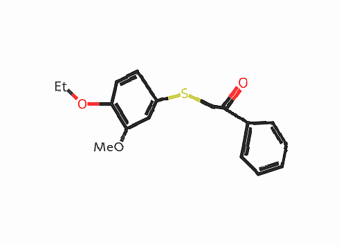 CCOc1ccc(SCC(=O)c2ccccc2)cc1OC